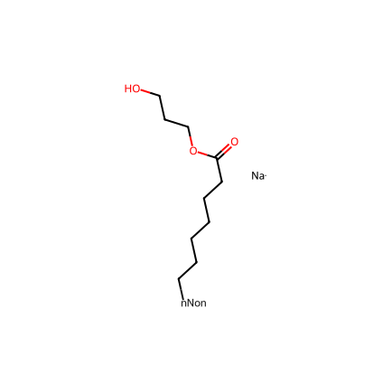 CCCCCCCCCCCCCCCC(=O)OCCCO.[Na]